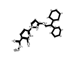 CC(C)(C)OC(=O)c1ccc(-n2ccc(OCC(C3CCCCC3)C3CCCCC3)n2)nc1Cl